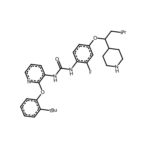 CC(C)CC(Oc1ccc(NC(=O)Nc2cccnc2Oc2ccccc2C(C)(C)C)c(F)c1)C1CCNCC1